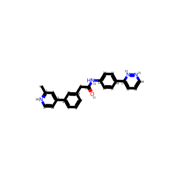 Cc1cc(-c2cccc(CC(=O)Nc3ccc(-c4cccnn4)cc3)c2)ccn1